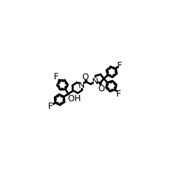 O=C(CN1CCC(c2ccc(F)cc2)(c2ccc(F)cc2)C1=O)N1CCC(C(O)(c2ccc(F)cc2)c2ccc(F)cc2)CC1